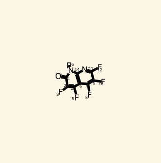 O=c1c(F)c(F)c2c(F)c(F)c(F)nc2n1F